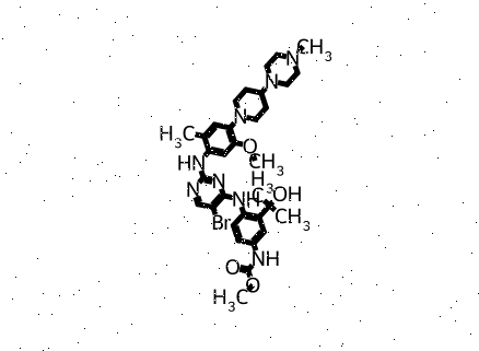 COC(=O)Nc1ccc(Nc2nc(Nc3cc(OC)c(N4CCC(N5CCN(C)CC5)CC4)cc3C)ncc2Br)c(C(C)(C)O)c1